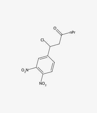 CCCC(=O)CC(Cl)c1ccc([N+](=O)[O-])c([N+](=O)[O-])c1